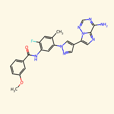 COc1cccc(C(=O)Nc2cc(-n3cc(-c4cnc5c(N)ncnn45)cn3)c(C)cc2F)c1